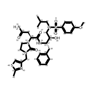 COc1ccc(S(=O)(=O)N(CC(C)C)C[C@@H](O)[C@H](Cc2ccccc2)NC(=O)[C@H](CC(N)=O)N2CCN(Cc3csc(C)n3)C2=O)cc1